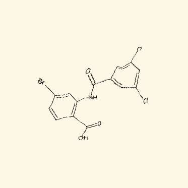 O=C(Nc1cc(Br)ccc1C(=O)O)c1cc(Cl)cc(Cl)c1